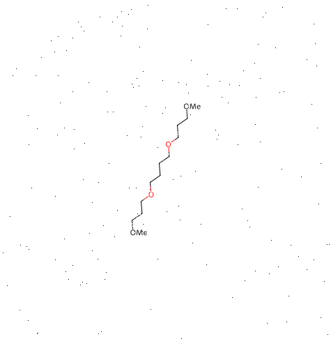 COCCCOCCCCOCCCOC